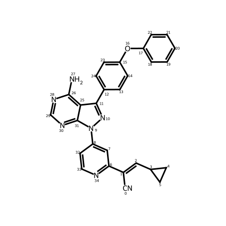 N#CC(=CC1CC1)c1cc(-n2nc(-c3ccc(Oc4ccccc4)cc3)c3c(N)ncnc32)ccn1